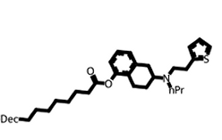 CCCCCCCCCCCCCCCCCC(=O)Oc1cccc2c1CCC(N(CCC)CCc1cccs1)C2